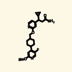 COc1cc(C2CCC(COc3cc(C(CC(N)=O)C4CC4)ccn3)CC2)c(F)cn1